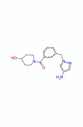 Nc1cnn(Cc2cccc(C(=O)N3CCC(O)CC3)c2)c1